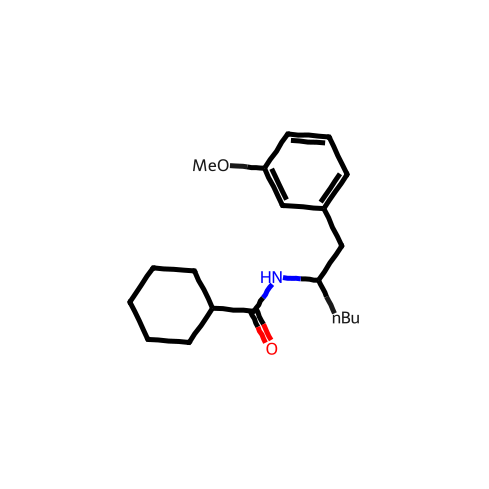 CCCCC(Cc1cccc(OC)c1)NC(=O)C1CCCCC1